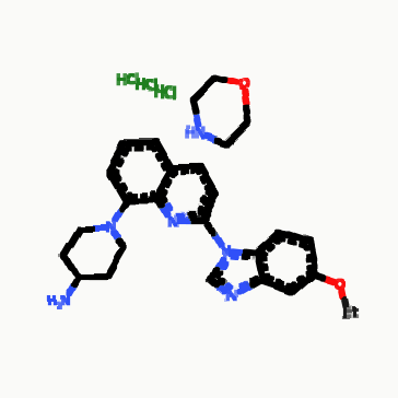 C1COCCN1.CCOc1ccc2c(c1)ncn2-c1ccc2cccc(N3CCC(N)CC3)c2n1.Cl.Cl.Cl